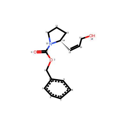 O=C(OCc1ccccc1)N1CCC[C@@H]1/C=C\CO